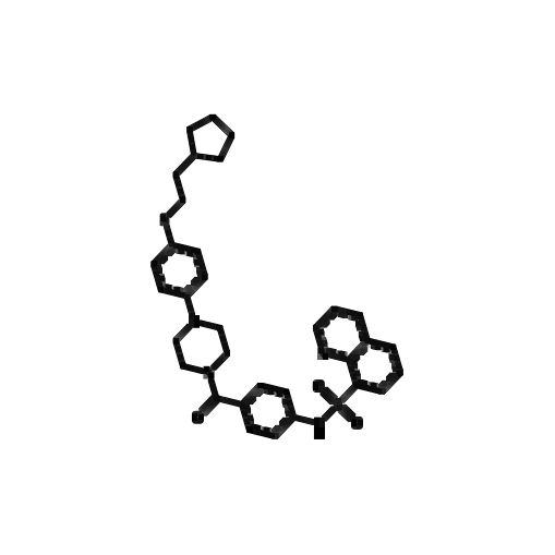 O=C(c1ccc(NS(=O)(=O)c2cccc3cccnc23)cc1)N1CCN(c2ccc(SCCC3CCCC3)cc2)CC1